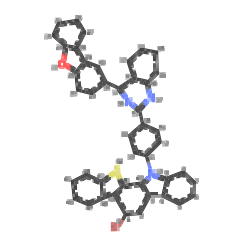 Brc1cc2c3ccccc3n(-c3ccc(-c4nc(-c5ccc6oc7ccccc7c6c5)c5ccccc5n4)cc3)c2c2sc3ccccc3c12